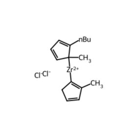 CCCCC1=CC=C[C]1(C)[Zr+2][C]1=C(C)C=CC1.[Cl-].[Cl-]